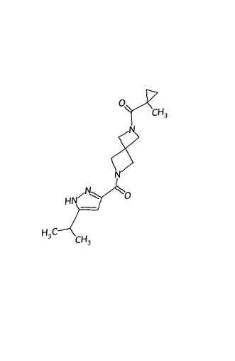 CC(C)c1cc(C(=O)N2CC3(C2)CN(C(=O)C2(C)CC2)C3)n[nH]1